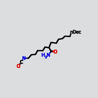 CCCCCCCCCCCCCCCCC(CCCCCCN=C=O)C(N)=O